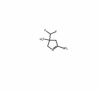 CC1(C(F)F)CN=C(N)C1